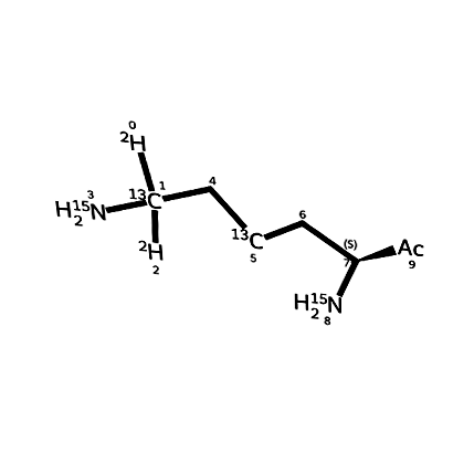 [2H][13C]([2H])([15NH2])C[13CH2]C[C@H]([15NH2])C(C)=O